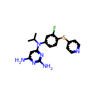 CC(C)N(c1ccc(Sc2ccncc2)c(F)c1)c1cc(N)nc(N)n1